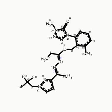 CC/C(=N\N=C(/C)c1ccn(CC(F)(F)F)n1)OCc1c(C)cccc1-n1nnn(C)c1=O